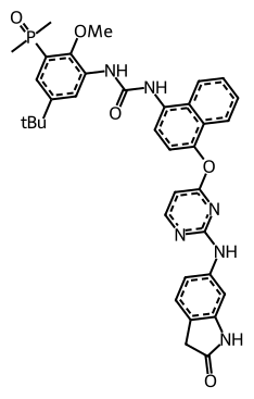 COc1c(NC(=O)Nc2ccc(Oc3ccnc(Nc4ccc5c(c4)NC(=O)C5)n3)c3ccccc23)cc(C(C)(C)C)cc1P(C)(C)=O